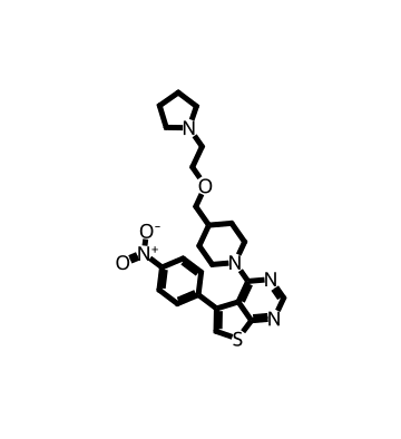 O=[N+]([O-])c1ccc(-c2csc3ncnc(N4CCC(COCCN5CCCC5)CC4)c23)cc1